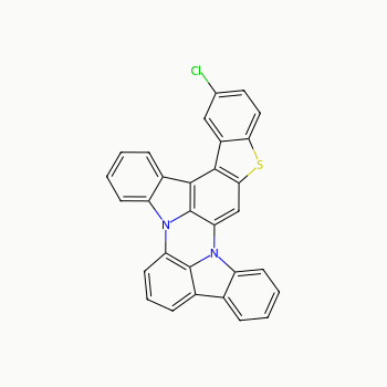 Clc1ccc2sc3cc4c5c(c6ccccc6n5c5cccc6c7ccccc7n4c65)c3c2c1